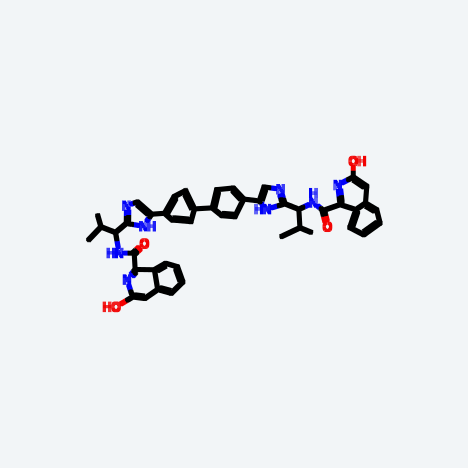 CC(C)C(NC(=O)c1nc(O)cc2ccccc12)c1ncc(-c2ccc(-c3ccc(-c4cnc(C(NC(=O)c5nc(O)cc6ccccc56)C(C)C)[nH]4)cc3)cc2)[nH]1